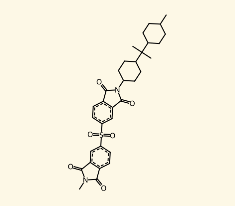 CC1CCC(C(C)(C)C2CCC(N3C(=O)c4ccc(S(=O)(=O)c5ccc6c(c5)C(=O)N(C)C6=O)cc4C3=O)CC2)CC1